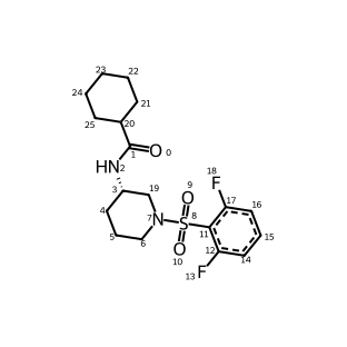 O=C(N[C@H]1CCCN(S(=O)(=O)c2c(F)cccc2F)C1)C1CCCCC1